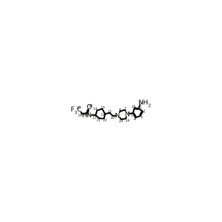 Nc1cccc(N2CCN(CCC3CCC(NC(=O)CC(F)(F)F)CC3)CC2)c1